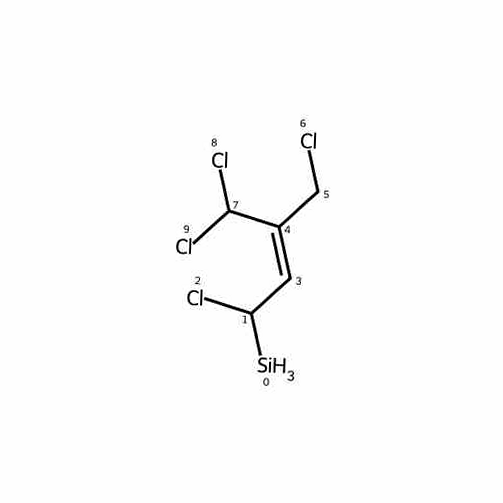 [SiH3]C(Cl)C=C(CCl)C(Cl)Cl